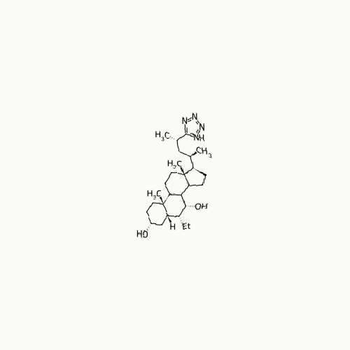 CC[C@H]1[C@@H](O)C2C3CC[C@H]([C@H](C)C[C@H](C)c4nnn[nH]4)[C@@]3(C)CCC2[C@@]2(C)CC[C@@H](O)C[C@@H]12